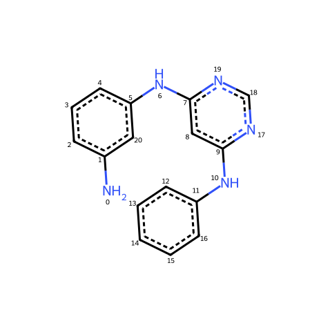 Nc1cccc(Nc2cc(Nc3ccccc3)ncn2)c1